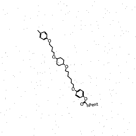 CCCCCC(=O)Oc1ccc(OCCCCCCOC2CCC(OCCCCOc3ccc(C)cc3)CC2)cc1